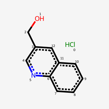 Cl.OCc1cnc2ccccc2c1